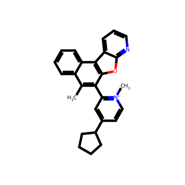 Cc1c(-c2cc(C3CCCC3)cc[n+]2C)c2oc3ncccc3c2c2ccccc12